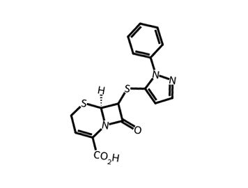 O=C(O)C1=CCS[C@H]2C(Sc3ccnn3-c3ccccc3)C(=O)N12